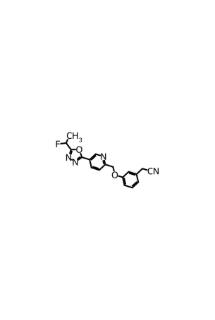 CC(F)c1nnc(-c2ccc(COc3cccc(CC#N)c3)nc2)o1